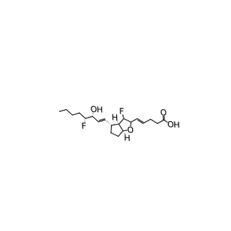 CCCC[C@@H](F)[C@H](O)/C=C/[C@H]1CC[C@@H]2OC(/C=C/CCC(=O)O)C(F)[C@@H]21